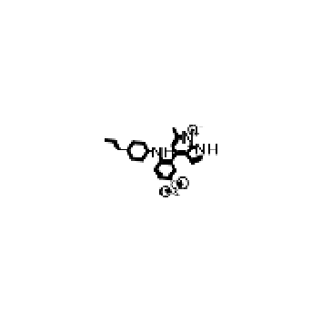 CCC[C@H]1CC[C@@H](Nc2ccc(S(C)(=O)=O)cc2-c2cc(C)[n+]([O-])c3[nH]ccc23)CC1